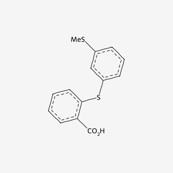 CSc1cccc(Sc2ccccc2C(=O)O)c1